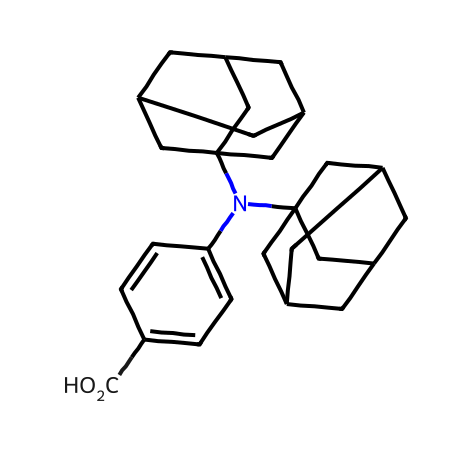 O=C(O)c1ccc(N(C23CC4CC(CC(C4)C2)C3)C23CC4CC(CC(C4)C2)C3)cc1